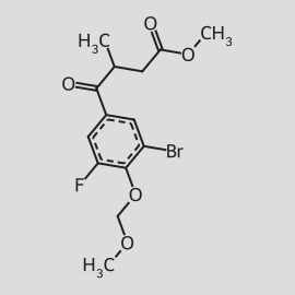 COCOc1c(F)cc(C(=O)C(C)CC(=O)OC)cc1Br